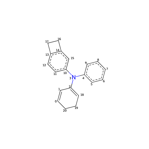 C1=CC(N(c2ccccc2)c2ccc3c(c2)CC3)=CCC1